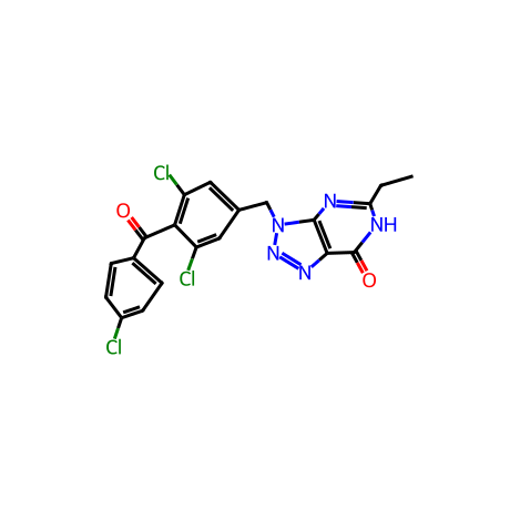 CCc1nc2c(nnn2Cc2cc(Cl)c(C(=O)c3ccc(Cl)cc3)c(Cl)c2)c(=O)[nH]1